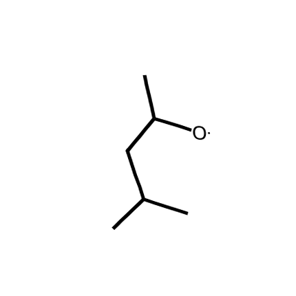 CC(C)CC(C)[O]